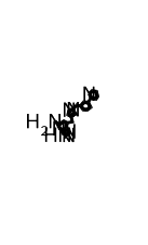 Nc1cc(Cc2cnn(Cc3cccc(-c4ccccn4)c3)c2)c2nn[nH]c2n1